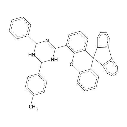 Cc1ccc(C2NC(c3cccc4c3Oc3ccccc3C43c4ccccc4-c4ccccc43)=NC(c3ccccc3)N2)cc1